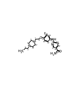 CCCN1CCN(CCOc2ccc(Nc3ncc(C(N)=O)cn3)cc2F)CC1